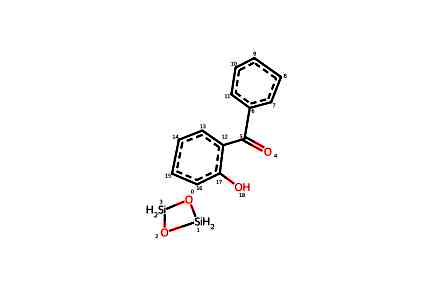 O1[SiH2]O[SiH2]1.O=C(c1ccccc1)c1ccccc1O